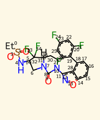 CCS(=O)(=O)N[C@@H]1CN2C(=O)N(c3noc4cccc(-c5c(F)cc(F)cc5F)c34)CC[C@@H]2C1(F)F